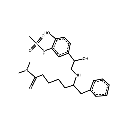 CN(C)C(=O)CCCCC(Cc1ccccc1)NCC(O)c1ccc(O)c(NS(C)(=O)=O)c1